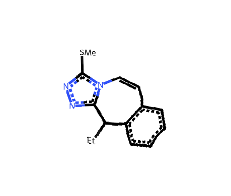 CCC1c2ccccc2C=Cn2c(SC)nnc21